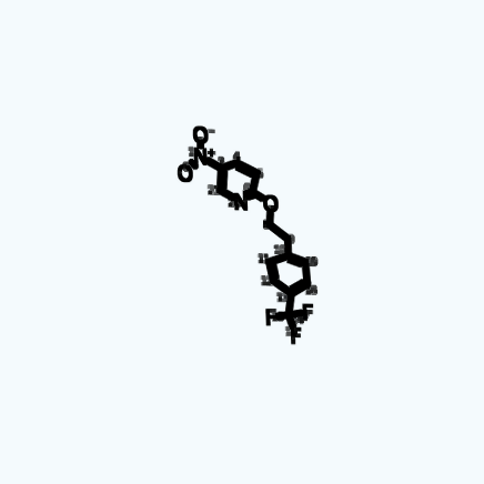 O=[N+]([O-])c1ccc(OCCc2ccc(C(F)(F)F)cc2)nc1